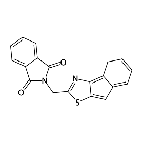 O=C1c2ccccc2C(=O)N1Cc1nc2c(s1)=CC1=CC=CCC=21